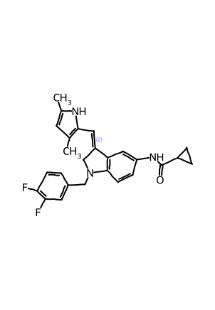 Cc1cc(C)c(/C=C2\CN(Cc3ccc(F)c(F)c3)c3ccc(NC(=O)C4CC4)cc32)[nH]1